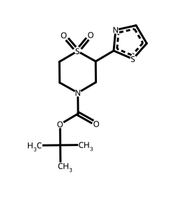 CC(C)(C)OC(=O)N1CCS(=O)(=O)C(c2nccs2)C1